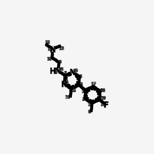 Cc1cc(-c2cnc(NCCN(C)C)nc2C)ccc1F